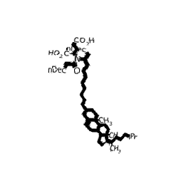 CCCCCCCCCCCC(=O)N(C(CCCCCCCCCCC)CCCCCCCCC1CC[C@@]2(C)C(=CCC3C2CC[C@@]2(C)C3CC[C@@H]2[C@H](C)CCCC(C)C)C1)[C@@H](CCC(=O)O)C(=O)O